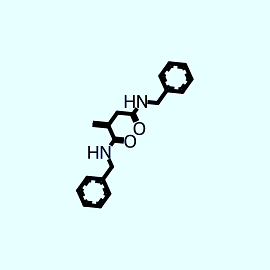 C=C(CC(=O)NCc1ccccc1)C(=O)NCc1ccccc1